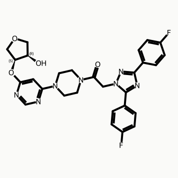 O=C(Cn1nc(-c2ccc(F)cc2)nc1-c1ccc(F)cc1)N1CCN(c2cc(O[C@H]3COC[C@H]3O)ncn2)CC1